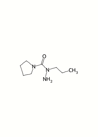 CCCN(N)C(=O)N1CCCC1